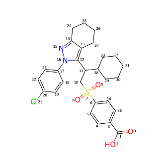 O=C(O)c1ccc(S(=O)(=O)CC(c2c3c(nn2-c2ccc(Cl)cc2)CCCC3)C2CCCCC2)cc1